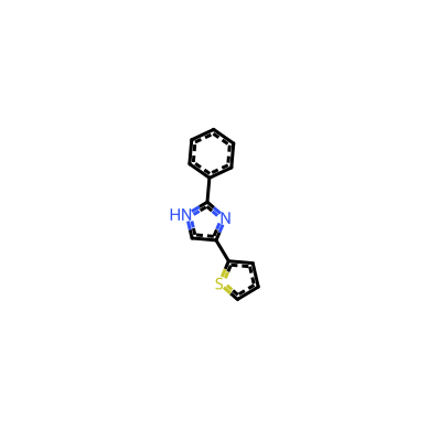 c1ccc(-c2nc(-c3cccs3)c[nH]2)cc1